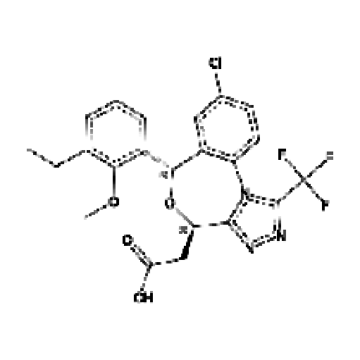 CCc1cccc([C@H]2O[C@H](CC(=O)O)c3nnc(C(F)(F)F)n3-c3ccc(Cl)cc32)c1OC